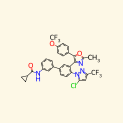 Cc1nc(-c2cc(-c3cccc(NC(=O)C4CC4)c3)ccc2-n2nc(C(F)(F)F)cc2Cl)c(-c2ccc(OC(F)(F)F)cc2)o1